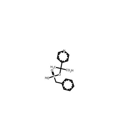 CC(OP(=O)(O)Cc1ccccc1)(C(=O)O)c1ccncc1